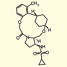 Cc1cccc2c1[C@H]1CC[C@H](CC1)OC[C@H]1[C@@H](NS(=O)(=O)C3CC3)CCN1C(=O)CO2